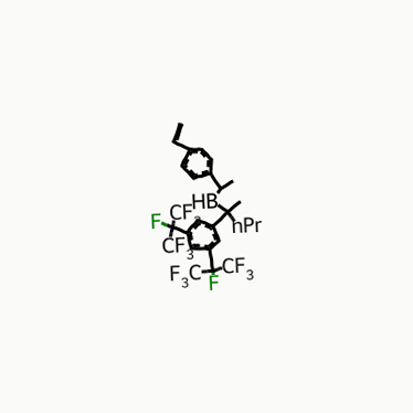 C=Cc1ccc(C(C)BC(C)(CCC)c2cc(C(F)(C(F)(F)F)C(F)(F)F)cc(C(F)(C(F)(F)F)C(F)(F)F)c2)cc1